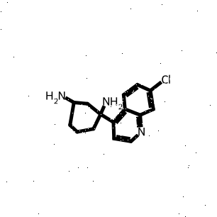 NC1CCCC(N)(c2ccnc3cc(Cl)ccc23)C1